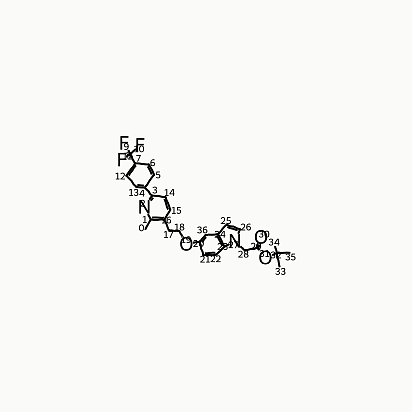 Cc1nc(-c2ccc(C(F)(F)F)cc2)ccc1CCOc1ccc2c(ccn2CC(=O)OC(C)(C)C)c1